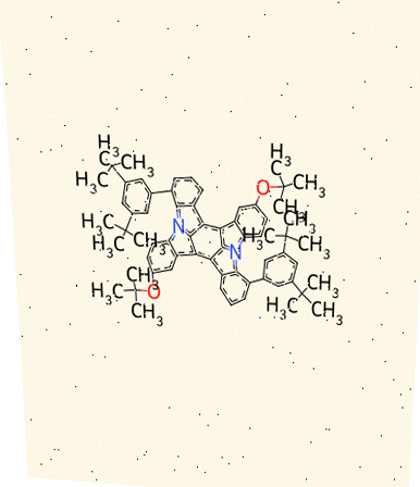 CC(C)(C)Oc1ccc2c(c1)c1c3c4cccc(-c5cc(C(C)(C)C)cc(C(C)(C)C)c5)c4n4c5ccc(OC(C)(C)C)cc5c(c5c6cccc(-c7cc(C(C)(C)C)cc(C(C)(C)C)c7)c6n2c15)c34